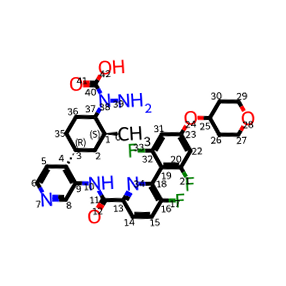 C[C@H]1C[C@H](c2ccncc2NC(=O)c2ccc(F)c(-c3c(F)cc(OC4CCOCC4)cc3F)n2)CCC1N(N)C(=O)O